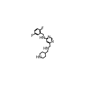 Fc1ccc(F)c(CNc2cc(CNCC3CCNCC3)ncn2)c1